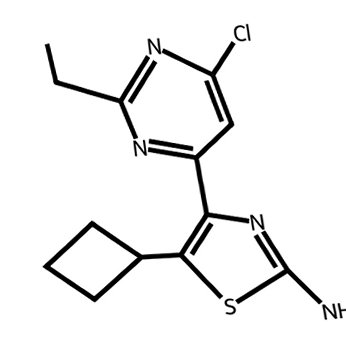 CCc1nc(Cl)cc(-c2nc(N)sc2C2CCC2)n1